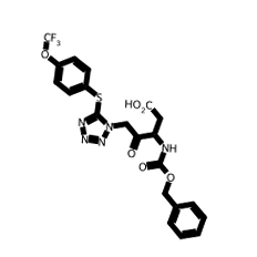 O=C(O)CC(NC(=O)OCc1ccccc1)C(=O)Cn1nnnc1Sc1ccc(OC(F)(F)F)cc1